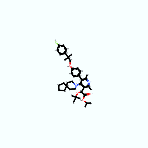 Cc1nc(C)c(C(OC(C)(C)C)C(=O)OC(C)C)c(N2CCC3(CCCC3)CC2)c1-c1ccc(OCC(C)(C)c2ccc(F)cc2)cc1